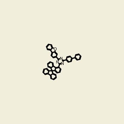 c1ccc(-c2ccc(-c3nc(-c4ccc5c(c4)oc4ccccc45)nc(-c4cccc5c4-c4ccccc4C54c5ccccc5-c5ccccc54)n3)cc2)cc1